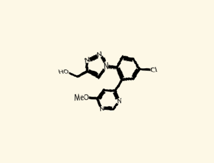 COc1cc(-c2cc(Cl)ccc2-n2cc(CO)nn2)ncn1